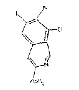 Clc1c(Br)c(I)cc2cc([AsH2])ncc12